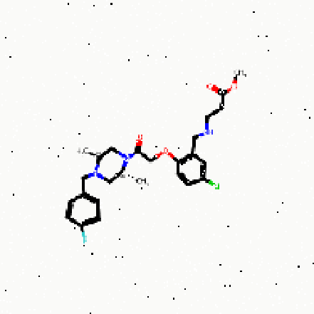 COC(=O)CCNCc1cc(Cl)ccc1OCC(=O)N1C[C@H](C)N(Cc2ccc(F)cc2)C[C@H]1C